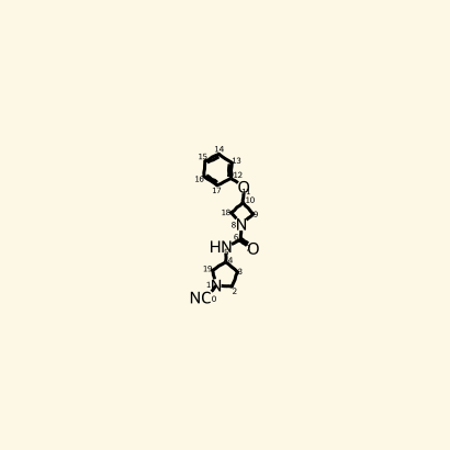 N#CN1CCC(NC(=O)N2CC(Oc3ccccc3)C2)C1